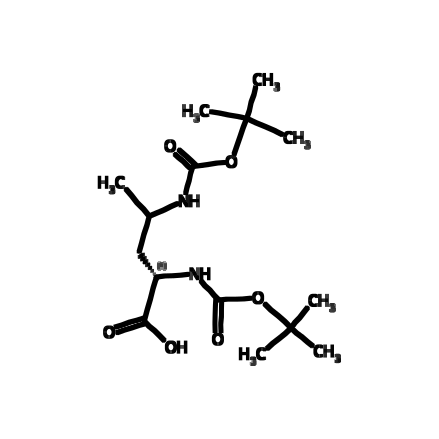 CC(C[C@H](NC(=O)OC(C)(C)C)C(=O)O)NC(=O)OC(C)(C)C